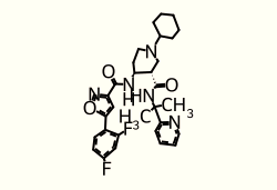 CC(C)(NC(=O)[C@H]1CN(C2CCCCC2)CC[C@@H]1NC(=O)c1cc(-c2ccc(F)cc2F)on1)c1ccccn1